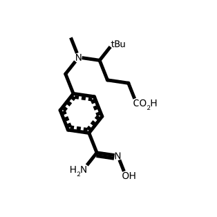 CN(Cc1ccc(C(N)=NO)cc1)C(CCC(=O)O)C(C)(C)C